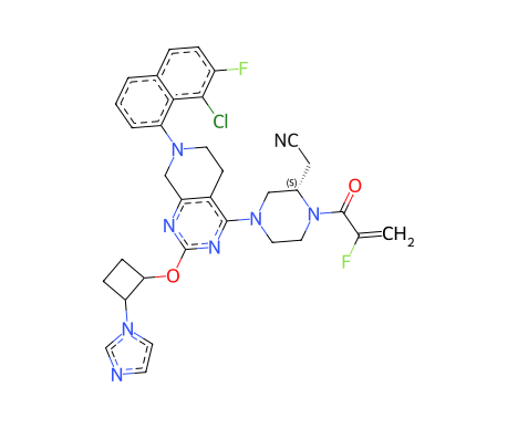 C=C(F)C(=O)N1CCN(c2nc(OC3CCC3n3ccnc3)nc3c2CCN(c2cccc4ccc(F)c(Cl)c24)C3)C[C@@H]1CC#N